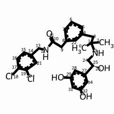 CC(C)(Cc1cccc(CC(=O)NCc2ccc(Cl)c(Cl)c2)c1)NC[C@H](O)c1cc(O)cc(O)c1